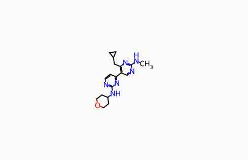 CNc1ncc(-c2ccnc(NC3CCOCC3)n2)c(CC2CC2)n1